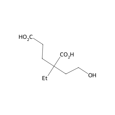 CCC(CCO)(CCC(=O)O)C(=O)O